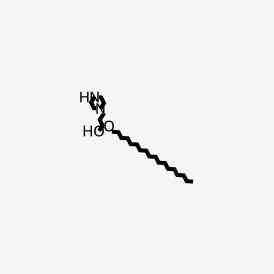 CCCCCCCCCCCCCCCCCCOC(O)CCN1CCNCC1